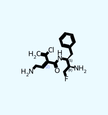 C=C(Cl)/C(=C\CN)C(=O)N[C@@H](Cc1ccccc1)[C@@H](N)CF